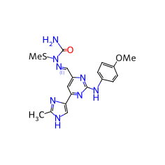 COc1ccc(Nc2nc(/C=N/N(SC)C(N)=O)cc(-c3c[nH]c(C)n3)n2)cc1